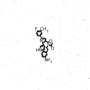 Cc1cc(-n2cc(C3OCC(=O)N3CCc3cccc(N)c3)c(-c3cc[nH]c3)n2)ccc1F